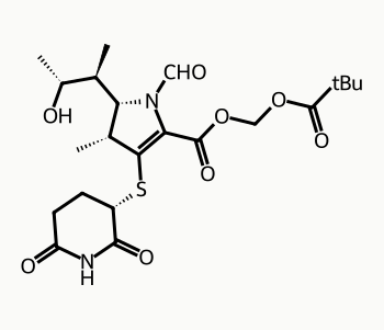 C[C@@H]([C@H]1[C@@H](C)C(S[C@H]2CCC(=O)NC2=O)=C(C(=O)OCOC(=O)C(C)(C)C)N1C=O)[C@@H](C)O